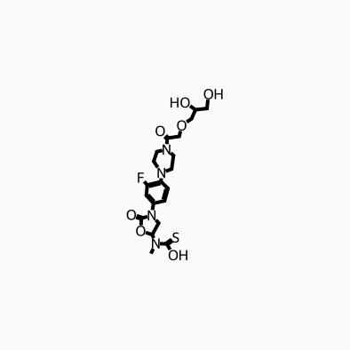 CN(C(O)=S)C1CN(c2ccc(N3CCN(C(=O)COCC(O)CO)CC3)c(F)c2)C(=O)O1